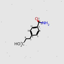 NC(=O)c1ccc(CCC(=O)O)cc1